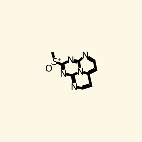 C[S+]([O-])C1=NC2=NC=CC3=CC=NC(=N1)N32